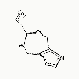 C=CC1CCn2nccc2CN1